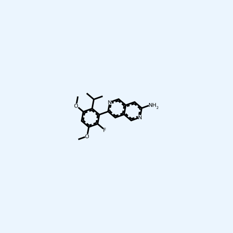 COc1cc(OC)c(C(C)C)c(-c2cc3cnc(N)cc3cn2)c1F